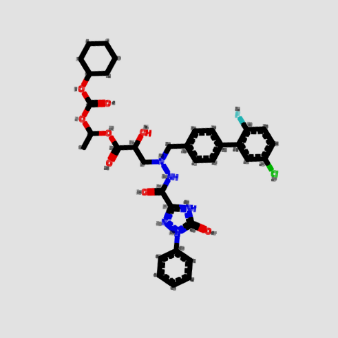 CC(OC(=O)OC1CCCCC1)OC(=O)C(O)CN(Cc1ccc(-c2cc(Cl)ccc2F)cc1)NC(=O)c1nn(-c2ccccc2)c(=O)[nH]1